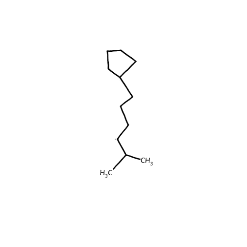 CC(C)[CH]CCCC1CCCC1